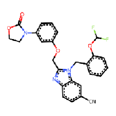 N#Cc1ccc2nc(COc3cccc(N4CCOC4=O)c3)n(Cc3ccccc3OC(F)F)c2c1